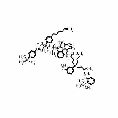 C=CCCCCc1cc[c]([Sn]([CH3])([CH3])[CH3])cc1.CC(C)[Si](c1cccc[c]1[Sn]([CH3])([CH3])[CH3])(C(C)C)C(C)C.CCC[CH2][Sn]([CH2]CCC)([CH2]CCC)[c]1cccc(OC)c1.COc1cc[c]([Sn]([CH3])([CH3])[CH3])cc1.COc1cccc[c]1[Sn]([CH3])([CH3])[CH3]